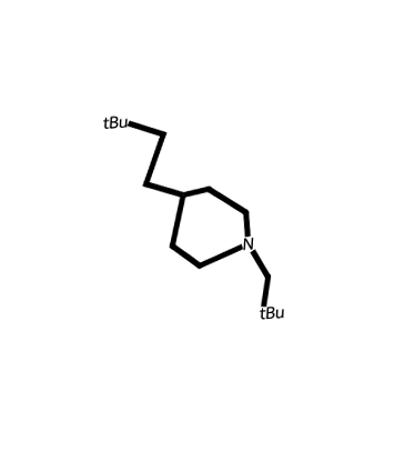 CC(C)(C)CCC1CCN(CC(C)(C)C)CC1